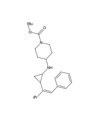 CC(C)C(=Cc1ccccc1)C1CC1NC1CCN(C(=O)OC(C)(C)C)CC1